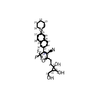 N#C/C(C(=O)CCC1(O)C(O)C1CO)=C(\c1ccc2cc(N3CCCCC3)ccc2c1)C(F)(F)F